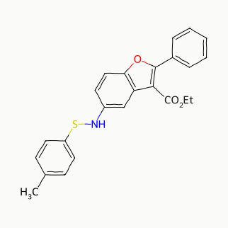 CCOC(=O)c1c(-c2ccccc2)oc2ccc(NSc3ccc(C)cc3)cc12